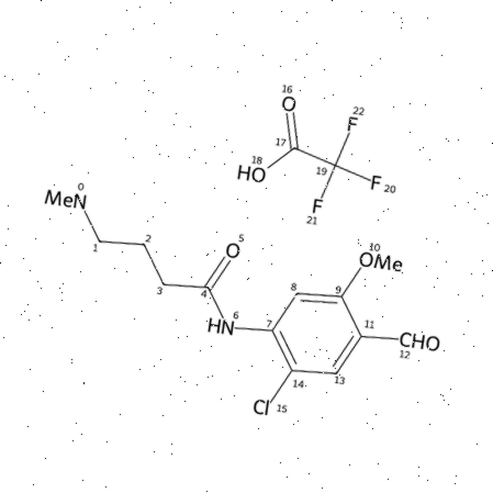 CNCCCC(=O)Nc1cc(OC)c(C=O)cc1Cl.O=C(O)C(F)(F)F